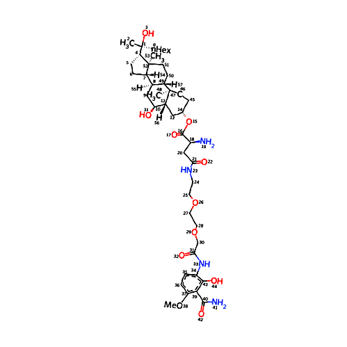 CCCCCC[C@](C)(O)[C@H]1CC[C@H]2[C@@H]3C[C@H](O)[C@H]4C[C@@H](OC(=O)[C@@H](N)CC(=O)NCCOCCOCC(=O)Nc5ccc(OC)c(C(N)=O)c5O)CC[C@]4(C)[C@H]3CC[C@@]21C